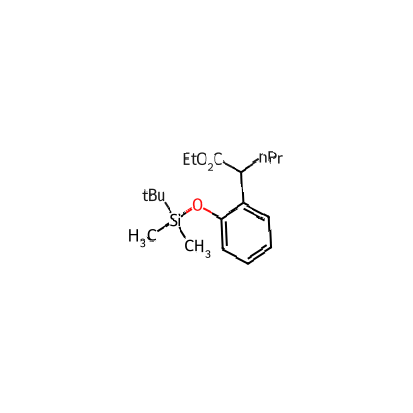 CCCC(C(=O)OCC)c1ccccc1O[Si](C)(C)C(C)(C)C